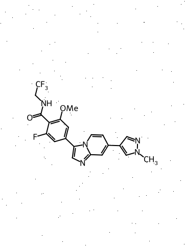 COc1cc(-c2cnc3cc(-c4cnn(C)c4)ccn23)cc(F)c1C(=O)NCC(F)(F)F